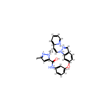 CCn1nc(C)cc1C(=O)Nc1cccc(Oc2ccc3cnn(C=Cc4ccccn4)c3c2)c1